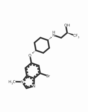 Cn1cnc2c(Br)cc(O[C@H]3CC[C@@H](NC[C@@H](O)C(F)(F)F)CC3)cc21